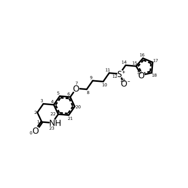 O=C1CCc2cc(OCCCC[S+]([O-])Cc3ccco3)ccc2N1